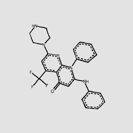 O=c1cc(Nc2ccccc2)n(-c2ccccc2)c2nc(N3CCNCC3)cc(C(F)(F)F)c12